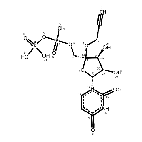 C#CCO[C@]1(COP(=O)(O)OP(=O)(O)O)O[C@@H](n2ccc(=O)[nH]c2=O)[C@H](O)[C@@H]1O